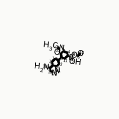 Cc1nc2cc(B(O)OC=O)cc(-c3ccc4c(N)cnnc4c3)c2o1